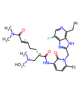 CCc1ccc(NC(=O)[C@@H](CC/C=C/C(=O)N(C)C)CN(C)C(=O)O)c(=O)n1Cc1nc2c(F)cnc(CC(C)C)c2[nH]1